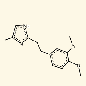 COc1ccc(CCc2nc(C)c[nH]2)cc1OC